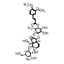 COc1ccc(/C=C/C(=O)O[C@@H]2[C@@H](O)[C@@H](O)[C@H](O[C@H]3[C@@H]4C=CO[C@@H](O[C@@H]5O[C@H](CO)[C@@H](O)[C@H](O)[C@H]5O)[C@@H]4[C@@]4(CO)O[C@@H]34)O[C@H]2C)cc1OC